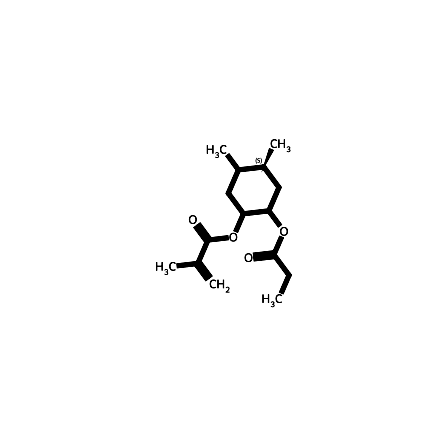 C=C(C)C(=O)OC1CC(C)[C@@H](C)CC1OC(=O)CC